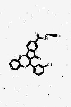 C#CCNC(=O)c1ccc2c(c1)C(=O)C1=C2Nc2ccccc2SC1c1cccc(O)c1